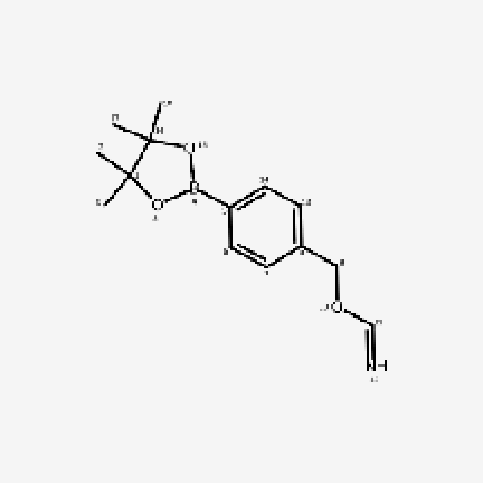 CC1(C)OB(c2ccc(COC=N)cc2)OC1(C)C